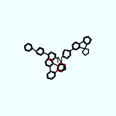 c1ccc(-c2ccc(-c3ccc(N(c4ccc(-c5ccc6c(c5)C5(CCCC5)c5ccccc5-6)cc4)c4ccccc4-c4ccccc4-c4ccccc4-c4ccccc4)cc3)cc2)cc1